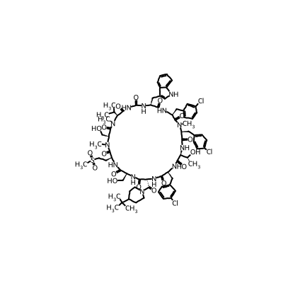 CC(C)[C@H]1C(=O)NC(=O)N[C@@H](Cc2c[nH]c3ccccc23)C(=O)N[C@@H](Cc2cccc(Cl)c2)C(=O)N(C)[C@@H](Cc2ccc(Cl)cc2)C(=O)N[C@@H]([C@@H](C)O)C(=O)N[C@@H](Cc2cccc(Cl)c2)C(=O)N[C@H](C(=O)N2CCC(C(C)(C)C)CC2)C(=O)N[C@@H](CO)C(=O)N[C@@H](CCS(C)(=O)=O)C(=O)N(C)[C@@H](CO)C(=O)N1C